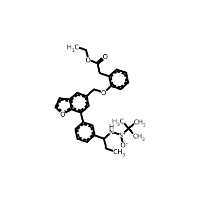 CCOC(=O)Cc1ccccc1OCc1cc(-c2cccc(C(CC)N[S+]([O-])C(C)(C)C)c2)c2occc2c1